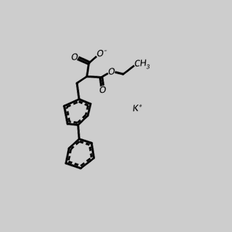 CCOC(=O)C(Cc1ccc(-c2ccccc2)cc1)C(=O)[O-].[K+]